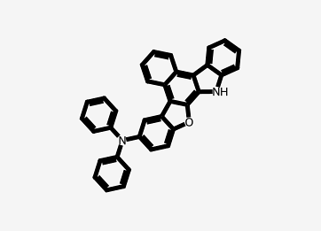 c1ccc(N(c2ccccc2)c2ccc3oc4c5[nH]c6ccccc6c5c5ccccc5c4c3c2)cc1